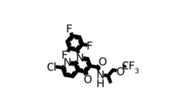 CC(COC(F)(F)F)NC(=O)c1cn(-c2c(F)cc(F)cc2F)c2nc(Cl)ccc2c1=O